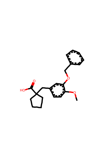 COc1ccc(CC2(C(=O)O)CCCC2)cc1OCc1ccccc1